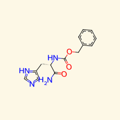 NC(=O)[C@H](Cc1cnc[nH]1)NC(=O)OCc1ccccc1